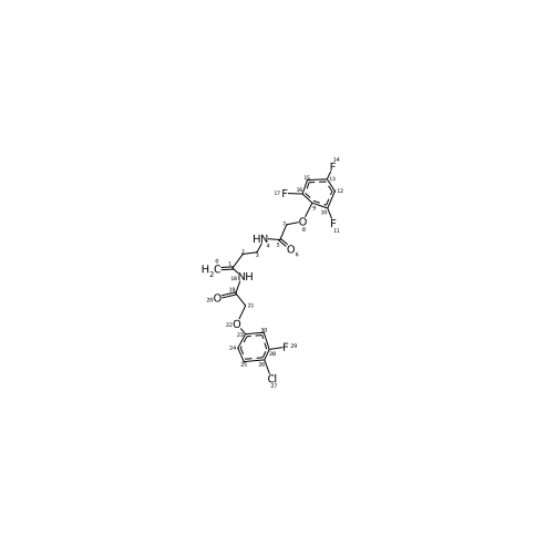 C=C(CCNC(=O)COc1c(F)cc(F)cc1F)NC(=O)COc1ccc(Cl)c(F)c1